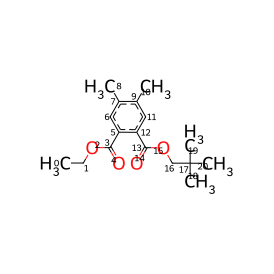 CCOC(=O)c1cc(C)c(C)cc1C(=O)OCC(C)(C)C